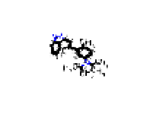 C=C(/C=C\c1ccccc1N)c1cc(N(C(C)C)C(C)C)ccc1C